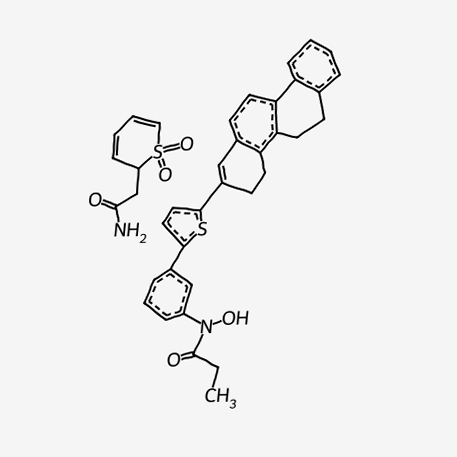 CCC(=O)N(O)c1cccc(-c2ccc(C3=Cc4ccc5c(c4CC3)CCc3ccccc3-5)s2)c1.NC(=O)CC1C=CC=CS1(=O)=O